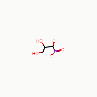 O=P(=O)C(O)C(O)CO